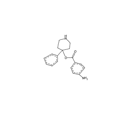 Nc1ccc(C(=O)OC2(c3ccccc3)CCNCC2)cc1